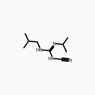 CC(C)CNC(=NC(C)C)NC#N